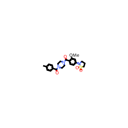 COc1cc(N2CCCS2(=O)=O)ccc1C(=O)N1CCN(C(=O)c2ccc(C)cc2)CC1